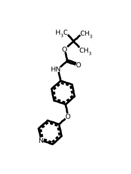 CC(C)(C)OC(=O)Nc1ccc(Oc2ccncc2)cc1